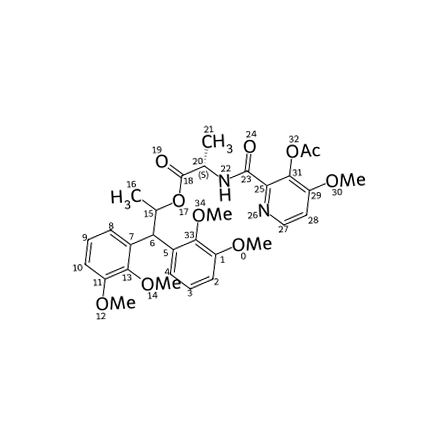 COc1cccc(C(c2cccc(OC)c2OC)C(C)OC(=O)[C@H](C)NC(=O)c2nccc(OC)c2OC(C)=O)c1OC